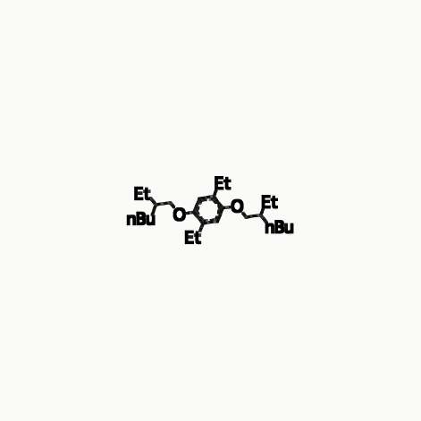 CCCCC(CC)COc1cc(CC)c(OCC(CC)CCCC)cc1CC